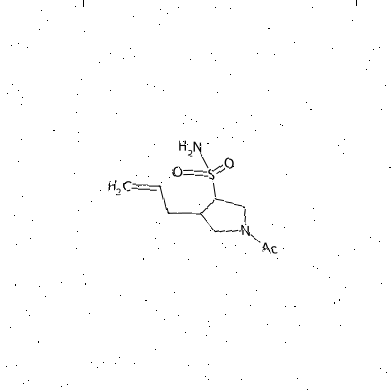 C=CCC1CN(C(C)=O)CC1S(N)(=O)=O